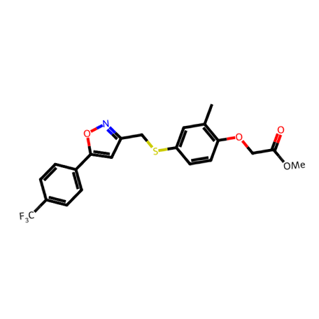 COC(=O)COc1ccc(SCc2cc(-c3ccc(C(F)(F)F)cc3)on2)cc1C